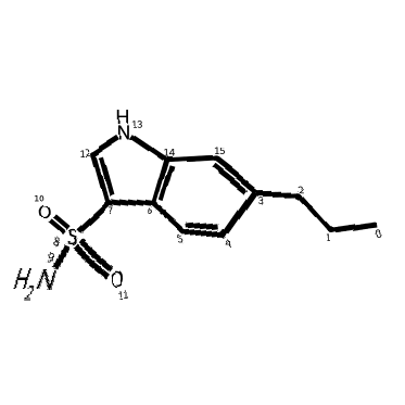 CCCc1ccc2c(S(N)(=O)=O)c[nH]c2c1